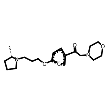 C[C@H]1CCCN1CCCOc1ccc(C(=O)CN2CCOCC2)cc1